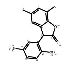 Cc1cc(C)c2c(c1)C(c1cc(N)ccc1N)C(=O)O2